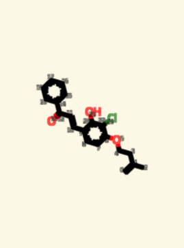 C=C(C)CCOc1ccc(C=CC(=O)c2ccccc2)c(O)c1Cl